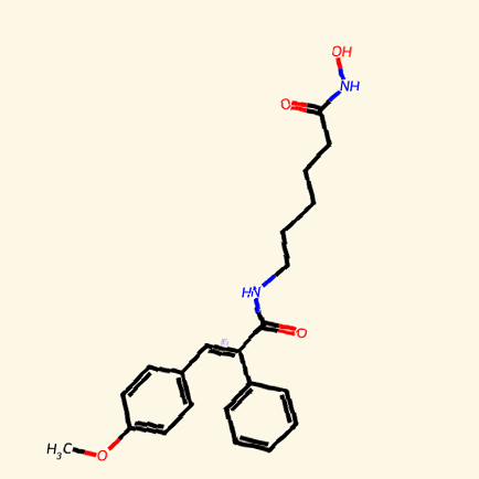 COc1ccc(/C=C(/C(=O)NCCCCCC(=O)NO)c2ccccc2)cc1